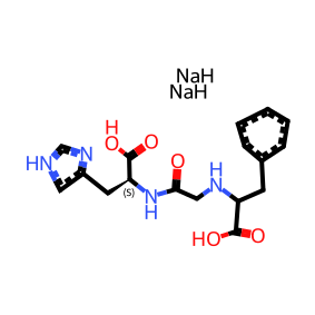 O=C(CNC(Cc1ccccc1)C(=O)O)N[C@@H](Cc1c[nH]cn1)C(=O)O.[NaH].[NaH]